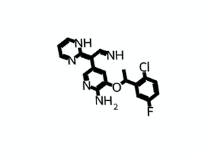 CC(Oc1cc(/C(C=N)=C2\N=CC=CN2)cnc1N)c1cc(F)ccc1Cl